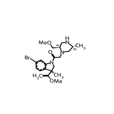 C=C(OC)[C@@]1(C)CN(C(=O)CN2C[C@@H](C)NC[C@@H]2COC)c2cc(Br)ccc21